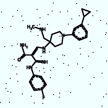 CNCC1(N/C=C(\C(=N)Nc2ccc(F)cc2)C(N)=O)CCN(c2cccc(C3CC3)c2)CC1